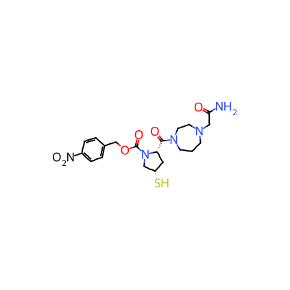 NC(=O)CN1CCCN(C(=O)[C@@H]2C[C@H](S)CN2C(=O)OCc2ccc([N+](=O)[O-])cc2)CC1